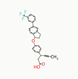 CC#CC(CC(=O)O)c1ccc(OC2CCc3cc(-c4cccc(C(F)(F)F)c4)ccc32)cc1